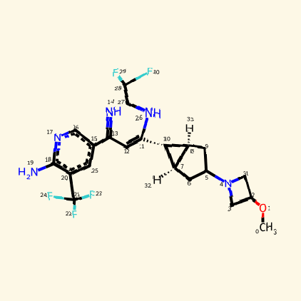 COC1CN(C2C[C@@H]3[C@H](C2)[C@H]3/C(=C/C(=N)c2cnc(N)c(C(F)(F)F)c2)NCC(F)F)C1